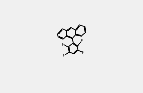 Fc1cc(F)c(F)c(-c2c3ccccc3cc3ccccc23)c1F